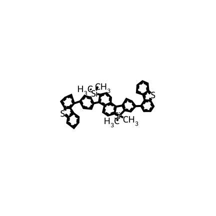 C[Si]1(C)c2cc(-c3cccc4sc5ccccc5c34)ccc2-c2c1ccc1c3c(ccc21)[Si](C)(C)c1cc(-c2cccc4sc5ccccc5c24)ccc1-3